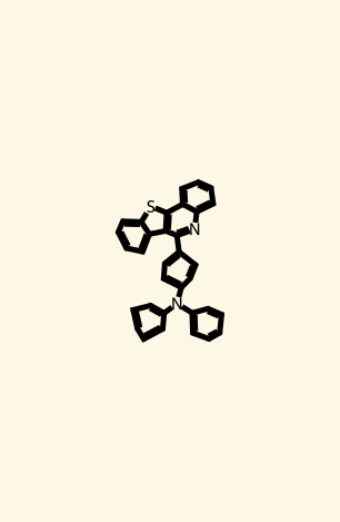 c1ccc(N(c2ccccc2)c2ccc(-c3nc4ccccc4c4sc5ccccc5c34)cc2)cc1